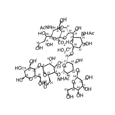 CC(=O)N[C@H]1[C@H](O[C@@H]2[C@H](O)[C@@H](O)[C@H](O[C@H]3[C@H](O)[C@@H](O)[C@H](O)O[C@@H]3CO)O[C@@H]2CO)O[C@H](CO[C@]2(C(=O)O)C[C@H](O)[C@@H](NC(C)=O)[C@H]([C@H](O)[C@@H](CO)O[C@]3(C(=O)O)C[C@H](O)[C@@H](NC(C)=O)[C@H]([C@H](O)[C@H](O)CO)O3)O2)[C@H](O)[C@@H]1O[C@@H]1O[C@H](CO)[C@H](O)[C@H](O)[C@H]1O